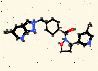 N#Cc1cncc([C@@H]2CCON2C(=O)[C@H]2CC[C@H](Cn3cc4cc(C#N)cnc4n3)CC2)c1